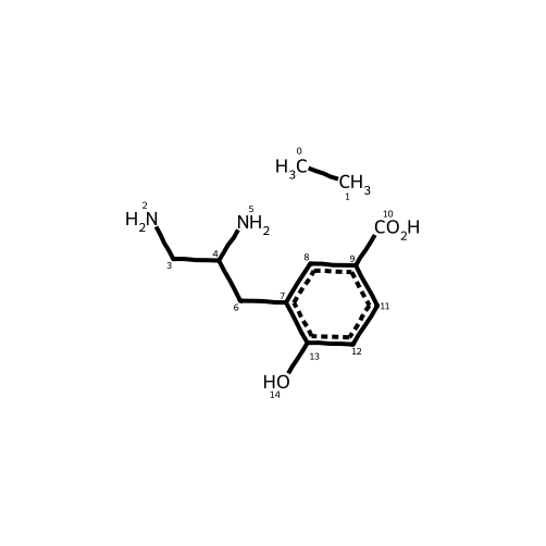 CC.NCC(N)Cc1cc(C(=O)O)ccc1O